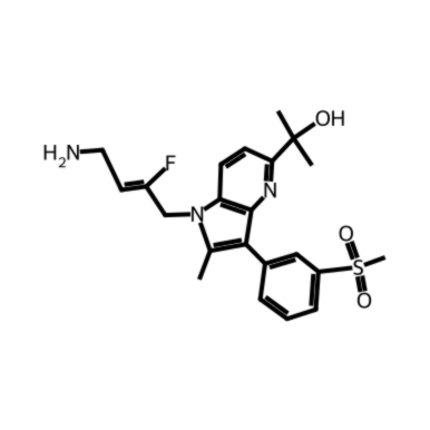 Cc1c(-c2cccc(S(C)(=O)=O)c2)c2nc(C(C)(C)O)ccc2n1CC(F)=CCN